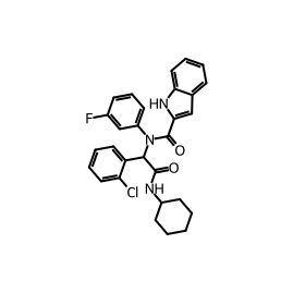 O=C(NC1CCCCC1)C(c1ccccc1Cl)N(C(=O)c1cc2ccccc2[nH]1)c1cccc(F)c1